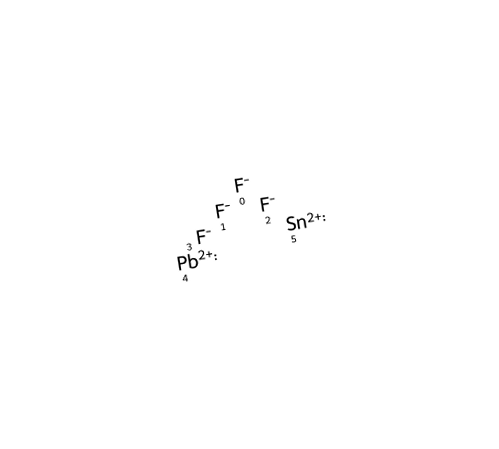 [F-].[F-].[F-].[F-].[Pb+2].[Sn+2]